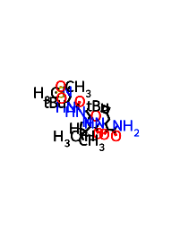 CN(C[C@@H](NC(=O)N[C@H](C(=O)N1C[C@H]2[C@@H]([C@H]1C(=O)NC(CC1CCC1)C(=O)C(N)=O)C2(C)C)C(C)(C)C)C(C)(C)C)S(C)(=O)=O